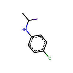 CC(I)Nc1ccc(Cl)cc1